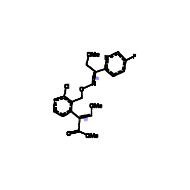 CO/C=C(/C(=O)OC)c1cccc(Cl)c1CO/N=C(\COC)c1ccc(F)cn1